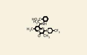 Cc1cc([C@@H](C)Nc2ccccc2C(=O)O)c2nc(N3CCC(C(F)(F)F)CC3)c(C)c(=O)n2c1